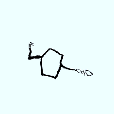 CC(C)CC1CCC(C=O)CC1